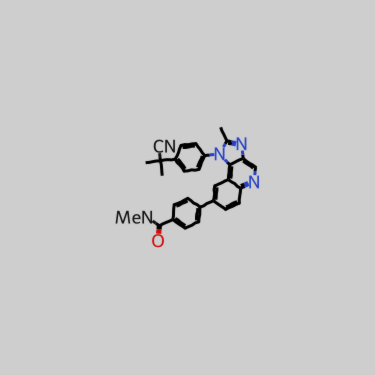 CNC(=O)c1ccc(-c2ccc3ncc4nc(C)n(-c5ccc(C(C)(C)C#N)cc5)c4c3c2)cc1